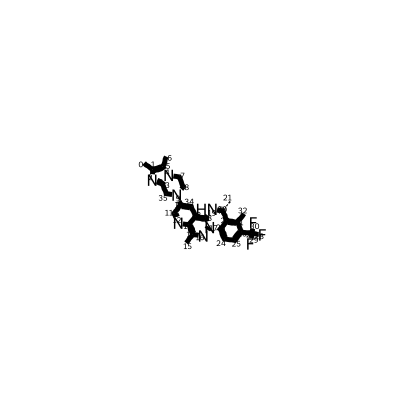 Cc1nc2n(c1C)CCN(c1cnc3c(C)nnc(N[C@H](C)c4cccc(C(F)(F)F)c4C)c3c1)C2